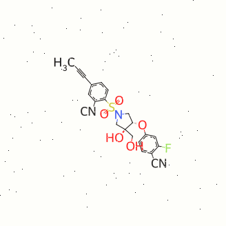 CC#Cc1ccc(S(=O)(=O)N2C[C@H](Oc3ccc(C#N)c(F)c3)[C@](O)(CO)C2)c(C#N)c1